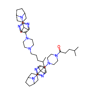 CC(C)CCC(=O)N1CCN(c2cnc(N3C4CCC3CC(C(C)(C)CC(C)CCCN3CCN(c5cnc(N6C7CCC6CC(C(C)C)C7)nc5)CC3)C4)nc2)CC1